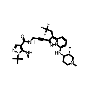 CNc1c(C(=O)NCC#Cc2nn3c(N[C@@H]4CCN(C)C[C@@H]4F)cccc3c2CC(F)(F)F)cnn1C(C)(C)C